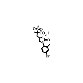 Cc1cc(Br)ccc1N1CC(CC(C)(C(=O)O)S(C)(=O)=O)OC1=O